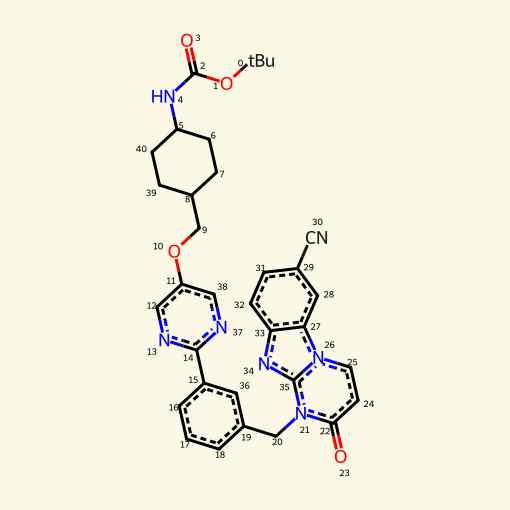 CC(C)(C)OC(=O)NC1CCC(COc2cnc(-c3cccc(Cn4c(=O)ccn5c6cc(C#N)ccc6nc45)c3)nc2)CC1